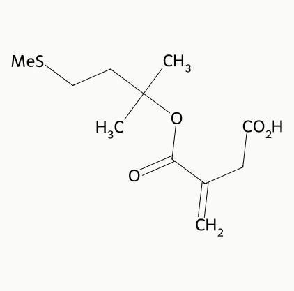 C=C(CC(=O)O)C(=O)OC(C)(C)CCSC